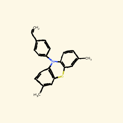 C=Cc1ccc(N2c3ccc(C)cc3Sc3cc(C)ccc32)cc1